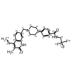 C=Nc1c(C)c(=O)[nH]c2cc(CN3CCN(c4ccc(C(=O)NCC(F)(F)F)nc4)CC3)cnc12